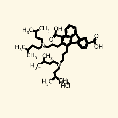 CC(C)CCN(CCCc1c(CCCN(CCC(C)C)CCC(C)C)c2c3c(cccc3c1C(=O)O)-c1cc(C(=O)O)ccc1-2)CCC(C)C.Cl.Cl